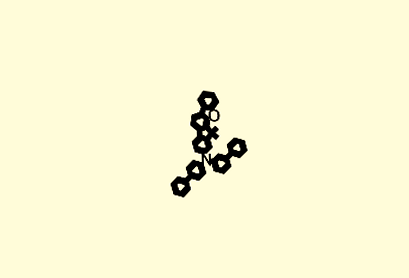 CC1(C)c2cc(N(c3ccc(-c4ccccc4)cc3)c3cccc(-c4ccccc4)c3)ccc2-c2ccc3c(oc4ccccc43)c21